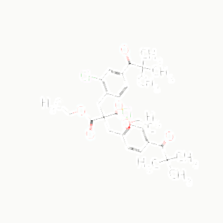 CCOC(=O)C(Cc1ccc(C(=O)C(C)(C)C)cc1Cl)(Cc1ccc(C(=O)C(C)(C)C)cc1Cl)C(=O)OCC